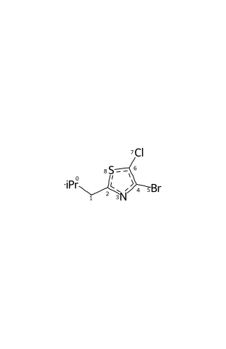 C[C](C)Cc1nc(Br)c(Cl)s1